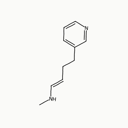 CNC=CCCc1cccnc1